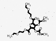 CCOCCOC(=O)c1sc(C(=O)OCCOCC)c(OC(=O)NC)c1OC(=O)NC